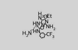 CCOc1nc(N)nc(N[C@@H](CCCN)C(=O)Nc2cccc(C(F)(F)F)c2)c1N